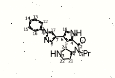 CC(C)N(C(=O)c1cc(-c2cnn(-c3ccccc3)c2)c[nH]1)[C@@H]1CCNC1